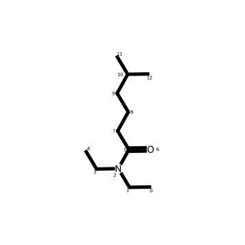 CCN(CC)C(=O)CCCC(C)C